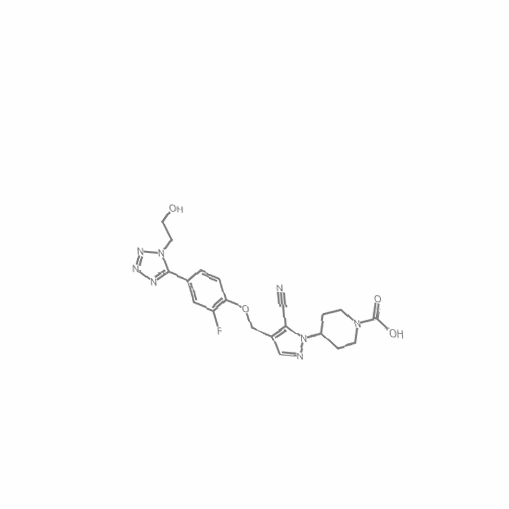 N#Cc1c(COc2ccc(-c3nnnn3CCO)cc2F)cnn1C1CCN(C(=O)O)CC1